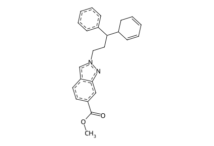 COC(=O)c1ccc2cn(CCC(c3ccccc3)C3C=CC=CC3)nc2c1